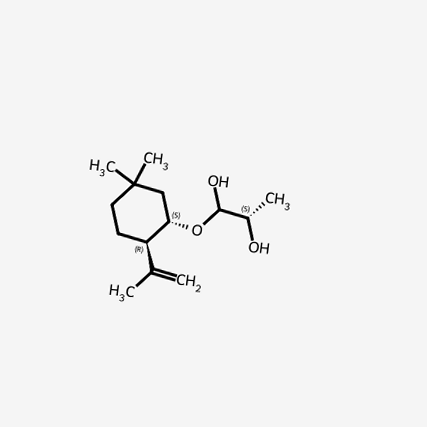 C=C(C)[C@H]1CCC(C)(C)C[C@@H]1OC(O)[C@H](C)O